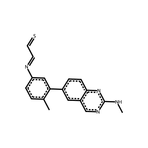 CNc1ncc2cc(-c3cc(N=CC=S)ccc3C)ccc2n1